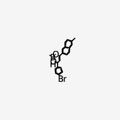 CBO/C(=C\C(=O)c1ccc(Br)cc1)c1ccc2cc(C)ccc2c1